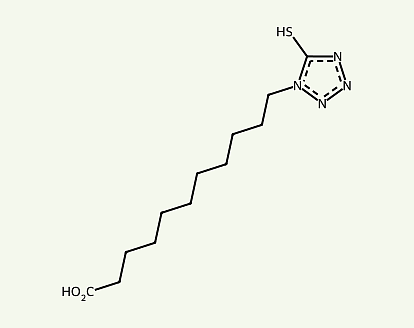 O=C(O)CCCCCCCCCCn1nnnc1S